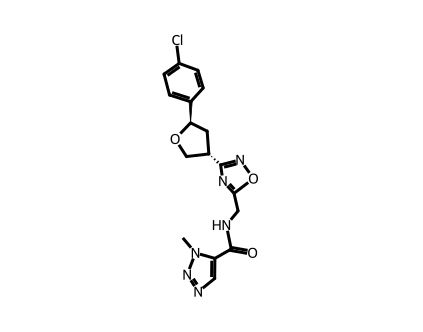 Cn1nncc1C(=O)NCc1nc([C@@H]2CO[C@@H](c3ccc(Cl)cc3)C2)no1